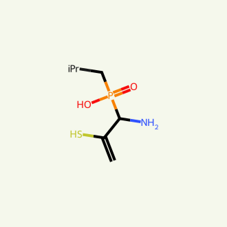 C=C(S)C(N)P(=O)(O)CC(C)C